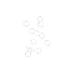 c1ccc(-c2ccc3c(-c4ccc5ccccc5c4)c4cc(-c5ccccc5)ccc4c(-c4ccc(-c5nc6ccccc6n5-c5ccccc5)cc4)c3c2)cc1